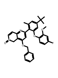 COc1cc(F)ccc1Oc1cc(C(C)(C)C)cc(C)c1-c1cc(OCc2ccccc2)c2c(n1)C=C[N+](=O)C2